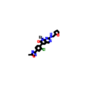 CCn1c(=O)c(-c2ccc(-c3noc(C)n3)cc2Cl)cc2cnc(NCC3CCCO3)nc21